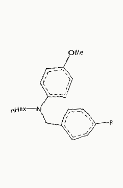 CCCCCCN(Cc1ccc(F)cc1)c1ccc(OC)cc1